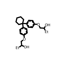 CCC(O)COc1ccc(C2(c3ccc(OCC(O)CC)cc3)CCCCC2)cc1